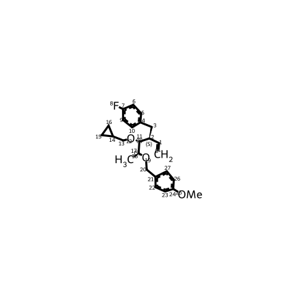 C=C[C@H](Cc1ccc(F)cc1)[C@@H](OCC1CC1)[C@H](C)OCc1ccc(OC)cc1